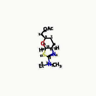 CCN(C)C1=N[C@@H]2[CH][CH][C@H](COC(C)=O)O[C@@H]2S1